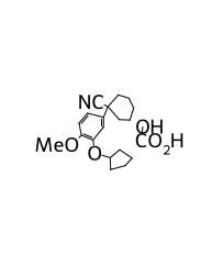 COc1ccc(C2(C#N)CCCCC2)cc1OC1CCCC1.O=C(O)O